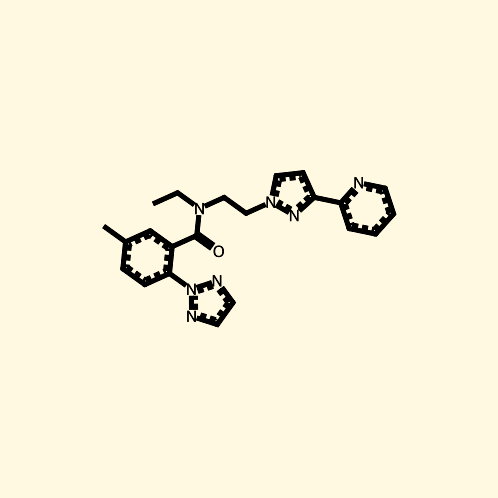 CCN(CCn1ccc(-c2ccccn2)n1)C(=O)c1cc(C)ccc1-n1nccn1